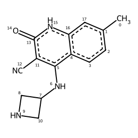 Cc1ccc2c(NC3CNC3)c(C#N)c(=O)[nH]c2c1